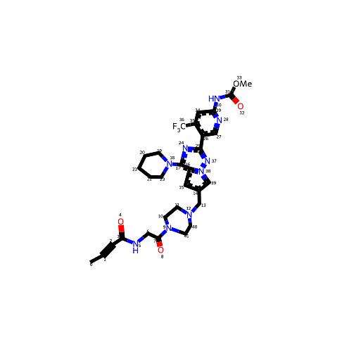 CC#CC(=O)NCC(=O)N1CCN(Cc2cc3c(N4CCCCC4)nc(-c4cnc(NC(=O)OC)cc4C(F)(F)F)nn3c2)CC1